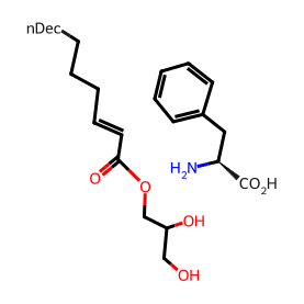 CCCCCCCCCCCCCC=CC(=O)OCC(O)CO.N[C@@H](Cc1ccccc1)C(=O)O